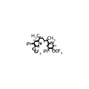 CC(C)c1cc(C(C)CCC(C)c2cc(C(C)C)c(OC(F)(F)F)cn2)ncc1OC(F)(F)F